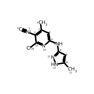 [C-]#[N+]c1c(C)cc(Nc2cc(C)[nH]n2)nc1Cl